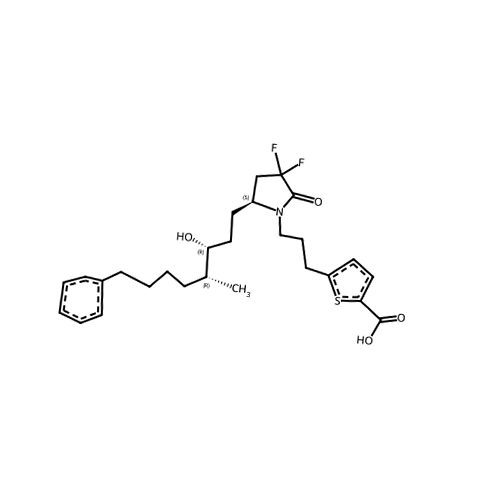 C[C@H](CCCCc1ccccc1)[C@H](O)CC[C@H]1CC(F)(F)C(=O)N1CCCc1ccc(C(=O)O)s1